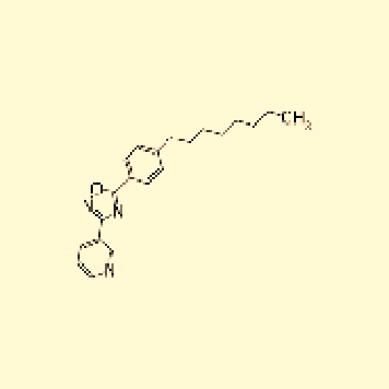 CCCCCCCCc1ccc(-c2nc(-c3cccnc3)no2)cc1